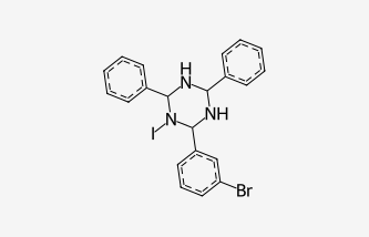 Brc1cccc(C2NC(c3ccccc3)NC(c3ccccc3)N2I)c1